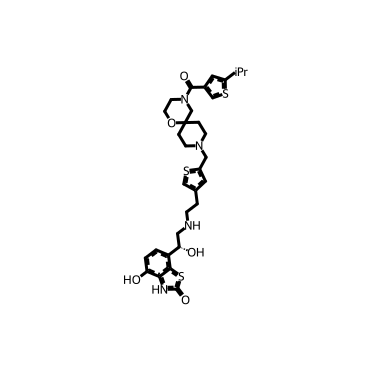 CC(C)c1cc(C(=O)N2CCOC3(CCN(Cc4cc(CCNC[C@H](O)c5ccc(O)c6[nH]c(=O)sc56)cs4)CC3)C2)cs1